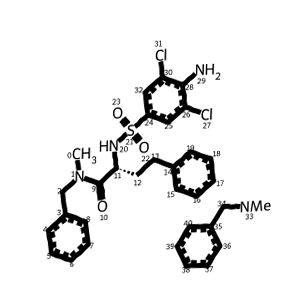 CN(Cc1ccccc1)C(=O)[C@@H](CCc1ccccc1)NS(=O)(=O)c1cc(Cl)c(N)c(Cl)c1.CNCc1ccccc1